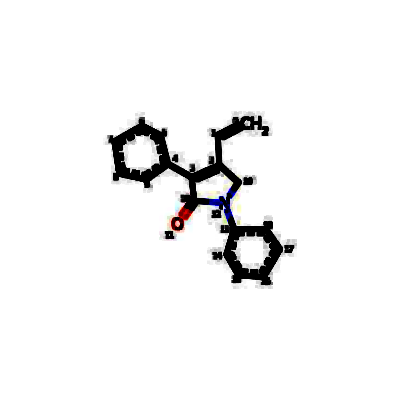 C=CC1=C(c2ccccc2)C(=O)N(c2ccccc2)C1